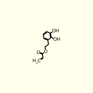 C=CC(=O)OCCc1cccc(O)c1O